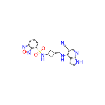 N#Cc1cnc2[nH]ccc2c1NC=C1CC(NS(=O)(=O)c2cccc3nonc23)C1